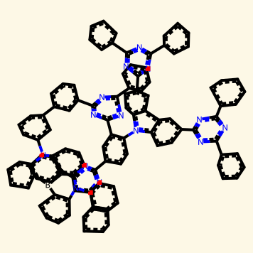 c1ccc(-c2cc(-c3ccccc3)nc(-c3ccc(-n4c5ccc(-c6nc(-c7ccccc7)nc(-c7ccccc7)n6)cc5c5cc(-c6nc(-c7ccccc7)nc(-c7ccccc7)n6)ccc54)c(-c4nc(-c5ccccc5)nc(-c5cccc(-c6cccc(N7c8ccccc8B8c9ccccc9N(c9ccccc9)c9cccc7c98)c6)c5)n4)c3)n2)cc1